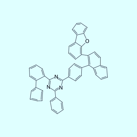 c1ccc(-c2nc(-c3ccc(-c4c(-c5cccc6c5oc5ccccc56)ccc5ccccc45)cc3)nc(-c3ccccc3-c3ccccc3)n2)cc1